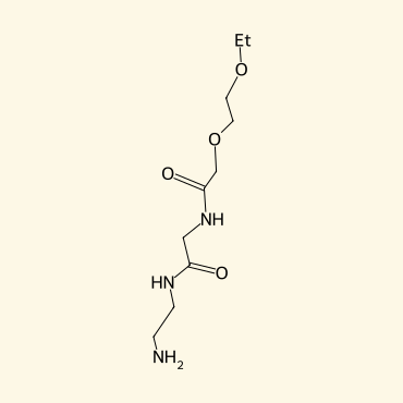 CCOCCOCC(=O)NCC(=O)NCCN